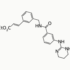 CCOC(=O)C=Cc1cccc(CNC(=O)c2cccc(NC3=NCCCN3)c2)c1